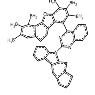 Bc1cc2ccc3c(oc4c(B)c(B)c(B)c(-c5nc(-n6c7ccccc7c7cc8ccccc8cc76)nc6ccccc56)c43)c2c(B)c1B